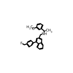 COc1cccc([C@@H](C)NCc2cc(-c3ccc(CF)cc3)c3ccccc3c2)c1